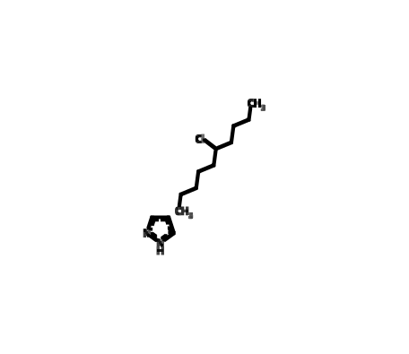 CCCCCC(Cl)CCCC.c1cn[nH]c1